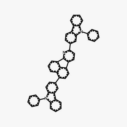 c1ccc(-n2c3ccccc3c3cc(-c4ccc5c6c(cccc46)-c4nc(-c6ccc7c8ccccc8n(-c8ccccc8)c7c6)ccc4-5)ccc32)cc1